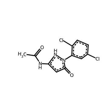 CC(=O)Nc1cc(=O)n(-c2cc(Cl)ccc2Cl)[nH]1